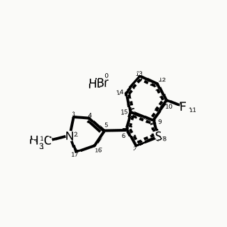 Br.CN1CC=C(c2csc3c(F)cccc23)CC1